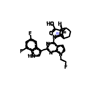 O=C(O)[C@H]1/C(=N/c2nc(-c3c[nH]c4c(F)cc(F)cc34)nc3c2ccn3CCF)C2CCC1CC2